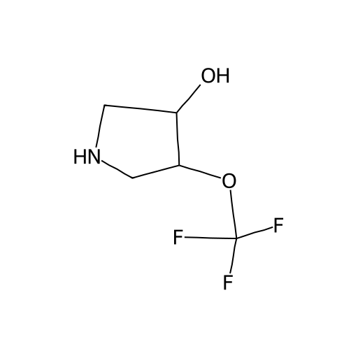 OC1CNCC1OC(F)(F)F